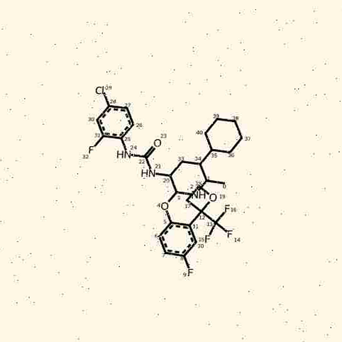 CC1NC(Oc2ccc(F)cc2C2(C(F)(F)F)CCO2)C(NC(=O)Nc2ccc(Cl)cc2F)CC1C1CCCCC1